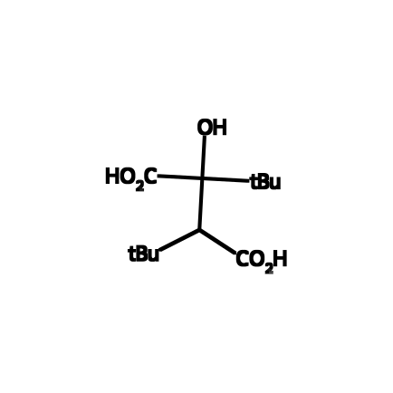 CC(C)(C)C(C(=O)O)C(O)(C(=O)O)C(C)(C)C